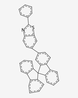 c1ccc(-c2nc3ccc(-c4ccc5c(c4)C4(c6ccccc6-c6ccccc64)c4ccccc4-5)cc3s2)cc1